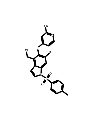 Cc1ccc(S(=O)(=O)n2ccc3c(CO)c(Sc4ccnc(C#N)c4)c(F)cc32)cc1